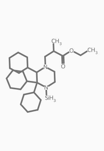 CCOC(=O)C(C)CN1CCN([SiH3])C(C2CCCCC2)(C2CCCCC2)C1C1CCCCC1